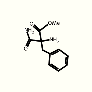 COC(=O)C(N)(Cc1ccccc1)C(N)=O